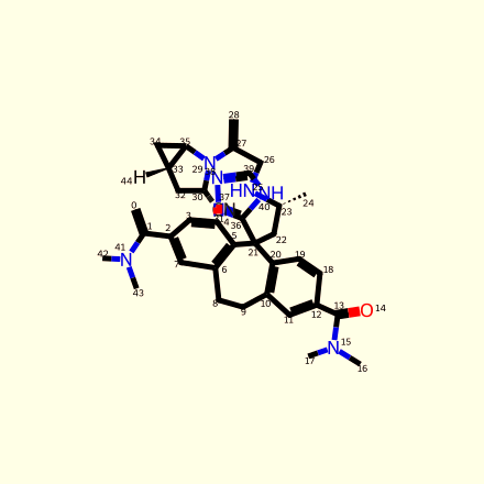 C=C(c1ccc2c(c1)CCc1cc(C(=O)N(C)C)ccc1C2(C[C@@H](C)NCC(=C)N1C(C#N)C[C@@H]2CC21)c1nnc[nH]1)N(C)C